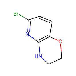 Brc1ccc2c(n1)NCCO2